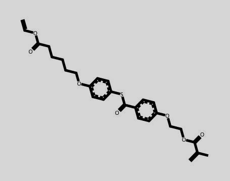 C=COC(=O)CCCCCOc1ccc(SC(=O)c2ccc(OCCOC(=O)C(=C)C)cc2)cc1